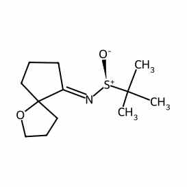 CC(C)(C)[S@+]([O-])/N=C1\CCCC12CCCO2